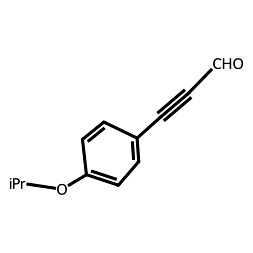 CC(C)Oc1ccc(C#CC=O)cc1